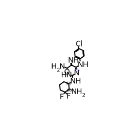 N=C(/N=C(/Nc1ccc(Cl)cc1)C(=N)C(N)=O)N[C@@H]1CCCC(F)(F)[C@@H]1N